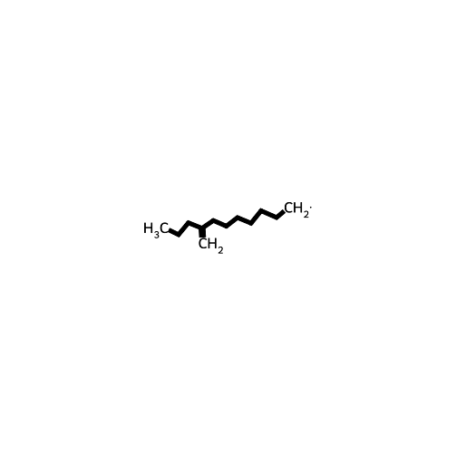 [CH2]CCCCCCC(=C)CCC